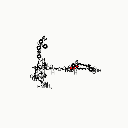 CCN(CC)c1ccc2nc3ccc(/N=N/c4ccc(N(C)CCCC(=O)NCCCC[C@H](NC(=O)[C@H](CCCNC(=N)N)NC(=O)C5CCCN5C(=O)CNC(=O)[C@H](Cc5cnc[nH]5)NC(=O)COCC(=O)NCCCOCCOCCOCCCNC(=O)CCCCCN5\C(=C/C=C/C=C/C6=[N+](CC)c7ccc(S(=O)(=O)O)cc7C6(C)C)C(C)(C)c6cc(S(=O)(=O)O)ccc65)C(=O)O)cc4)cc3[n+](-c3ccccc3)c2c1